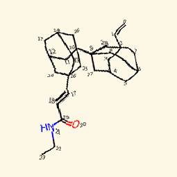 C=CC12CC3CC(C1)CC(C14CC5CC(CC(C=CC(=O)NCC)(C5)C1)C4)(C3)C2